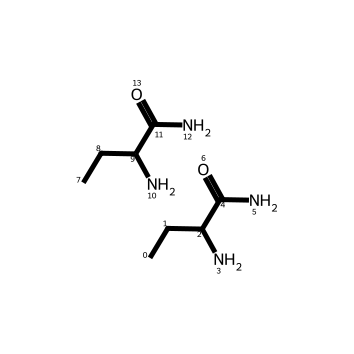 CCC(N)C(N)=O.CCC(N)C(N)=O